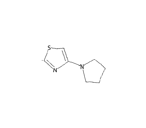 [c]1nc(N2CCCC2)cs1